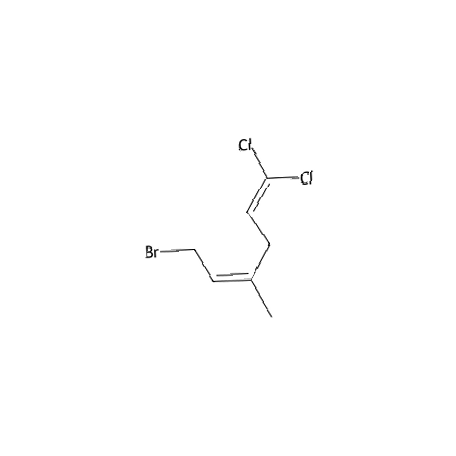 CC(=CCBr)CC=C(Cl)Cl